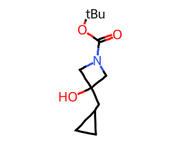 CC(C)(C)OC(=O)N1CC(O)(CC2CC2)C1